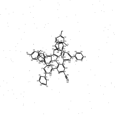 Cc1ccc(-c2ccc3c(c2)c2cc(-c4ccc(C)cc4C)ccc2n3-c2c(-c3nc(-c4ccccc4)cc(-c4ccccc4)n3)cc(C#N)cc2-c2nc(-c3ccccc3)cc(-c3ccccc3)n2)c(C)c1